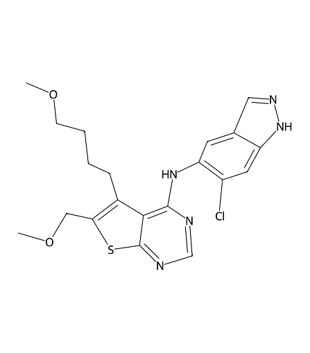 COCCCCc1c(COC)sc2ncnc(Nc3cc4cn[nH]c4cc3Cl)c12